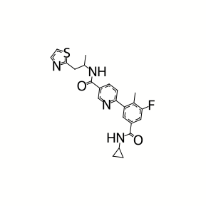 Cc1c(F)cc(C(=O)NC2CC2)cc1-c1ccc(C(=O)NC(C)Cc2nccs2)cn1